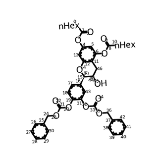 CCCCCCC(=O)Oc1cc(OC(=O)CCCCCC)c2c(c1)O[C@H](c1ccc(OC(=O)OCc3ccccc3)c(OC(=O)OCc3ccccc3)c1)[C@H](O)C2